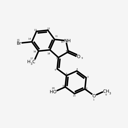 COc1ccc(C=C2C(=O)Nc3ccc(Br)c(C)c32)c(O)c1